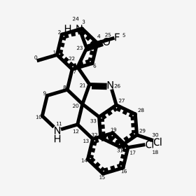 Cc1ccc(F)cc1C1CCNC(c2cccc(Cl)c2)C12C(CC(N)=O)=Nc1cc(Cl)ccc12